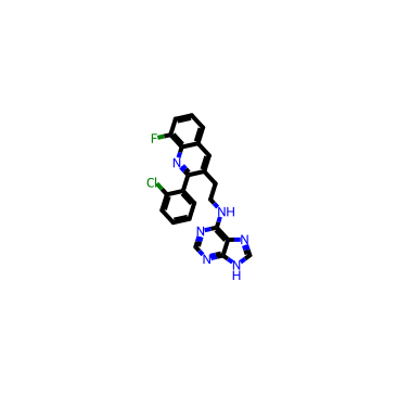 Fc1cccc2cc(CCNc3ncnc4[nH]cnc34)c(-c3ccccc3Cl)nc12